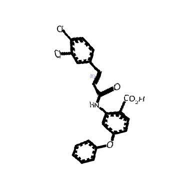 O=C(/C=C/c1ccc(Cl)c(Cl)c1)Nc1cc(Oc2ccccc2)ccc1C(=O)O